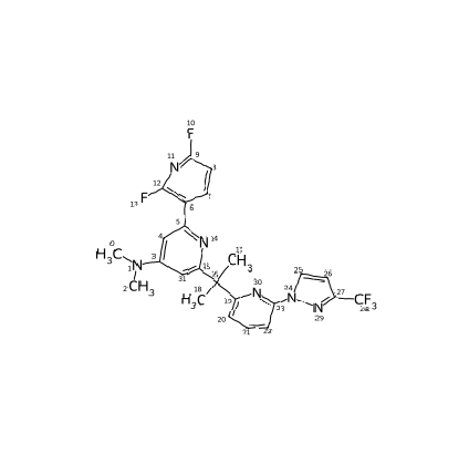 CN(C)c1cc(-c2ccc(F)nc2F)nc(C(C)(C)c2cccc(-n3ccc(C(F)(F)F)n3)n2)c1